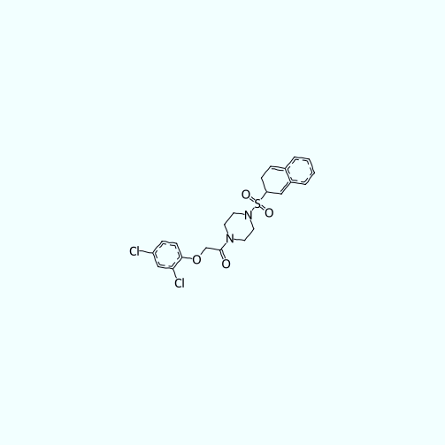 O=C(COc1ccc(Cl)cc1Cl)N1CCN(S(=O)(=O)C2C=c3ccccc3=CC2)CC1